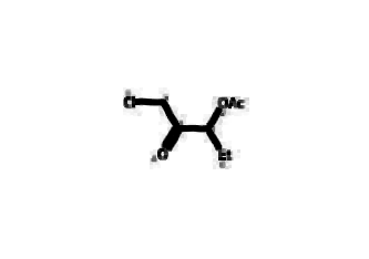 CCC(OC(C)=O)C(=O)CCl